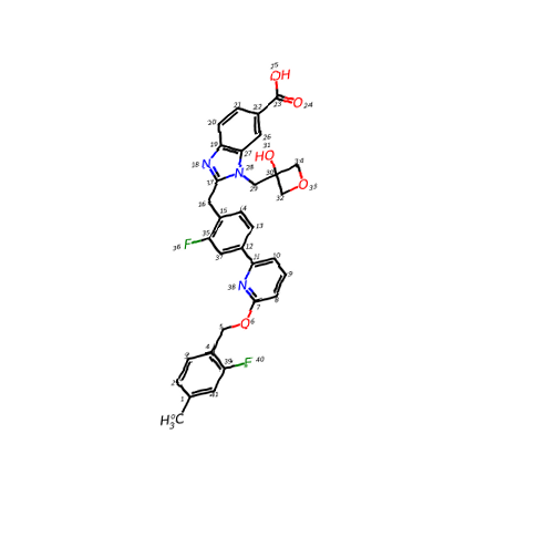 Cc1ccc(COc2cccc(-c3ccc(Cc4nc5ccc(C(=O)O)cc5n4CC4(O)COC4)c(F)c3)n2)c(F)c1